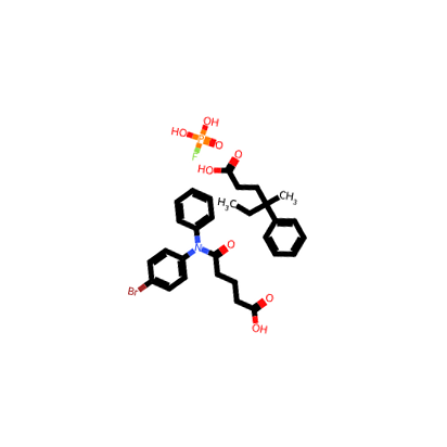 CCC(C)(CCC(=O)O)c1ccccc1.O=C(O)CCCC(=O)N(c1ccccc1)c1ccc(Br)cc1.O=P(O)(O)F